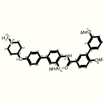 COc1cccc(-c2cc(C(=O)Nc3ccc(-c4ccc(OC5CCN(C)CC5)cc4)cc3NC(C)=O)ccc2OC)c1